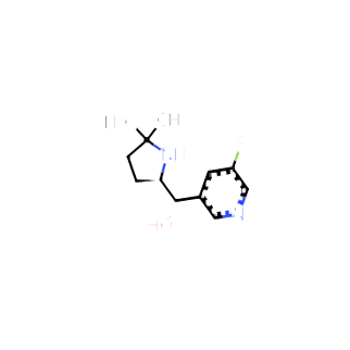 CC1(C)CC[C@H]([C@@H](O)c2cncc(F)c2)N1